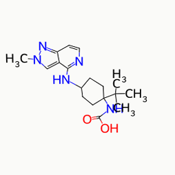 Cn1cc2c(NC3CCC(NC(=O)O)(C(C)(C)C)CC3)nccc2n1